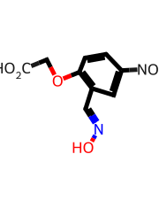 O=C(O)COc1ccc([N+](=O)[O-])cc1C=NO